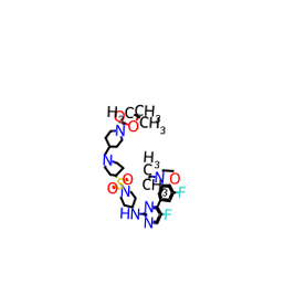 CC(C)N1CCOc2c(F)cc(-c3nc(NC4CCN(S(=O)(=O)C5CCN(CC6CCN(C(=O)OC(C)(C)C)CC6)CC5)CC4)ncc3F)cc21